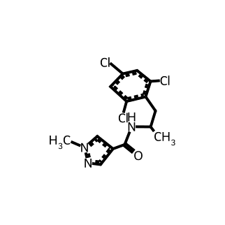 CC(Cc1c(Cl)cc(Cl)cc1Cl)NC(=O)c1cnn(C)c1